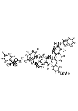 COc1ccc(-c2c(N3CCCc4c3nnc(Nc3nc5ccccc5s3)c4C)nc(C(=O)O)c(-c3cnn(CC45CC6(C)CC(C)(CC(CCCOS(=O)(=O)c7ccc(C)cc7)(C6)C4)C5)c3C)c2C)cc1